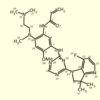 C=CC(=O)Nc1cc(Nc2ncnc(N3CC(C)(C)c4nccc(F)c43)n2)c(OC)cc1N(C)CCN(C)C